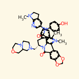 Cc1c(C(=O)N(c2ccc(O)cc2)c2cnc3c(c2)CCN3C)cc(-c2cc3c(cc2C(=O)N2Cc4ccccc4C[C@H]2CN2CCN4CCOCC4C2)OCO3)n1C